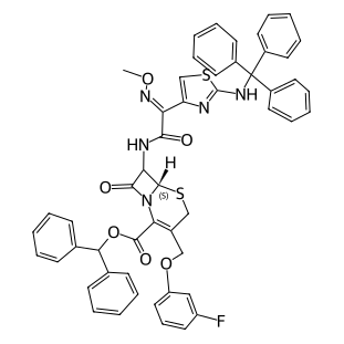 CON=C(C(=O)NC1C(=O)N2C(C(=O)OC(c3ccccc3)c3ccccc3)=C(COc3cccc(F)c3)CS[C@@H]12)c1csc(NC(c2ccccc2)(c2ccccc2)c2ccccc2)n1